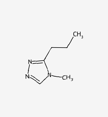 CCCc1nncn1C